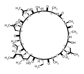 C/C=C/C[C@@H](C)[C@@H](O)[C@H]1C(=O)N[C@@H](CC)C(=O)N(C)CC(=O)N(C)[C@@H](CC(C)C)C(O)N[C@@H](C)C(=O)N(C)CC(=O)N[C@@H](C)C(=O)N[C@H](C)C(=O)N(C)[C@@H](CC(C)C)C(=O)N(C)[C@H](CC(C)C)C(=O)N(C)[C@@H](C(C)C)C(=O)N1C